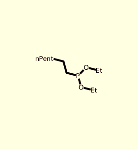 CCCCCCCP(OCC)OCC